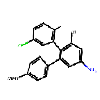 COc1ccc(-c2cc(N)cc(C#N)c2-c2cc(Cl)ccc2C)cc1